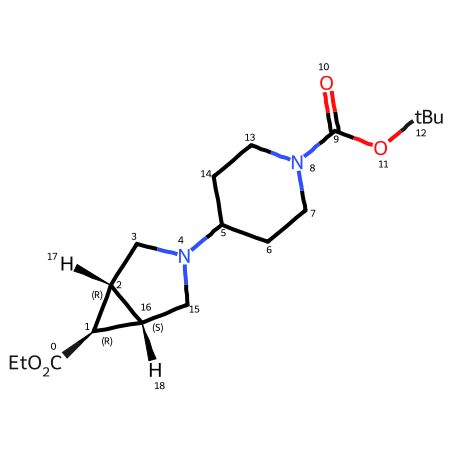 CCOC(=O)[C@H]1[C@@H]2CN(C3CCN(C(=O)OC(C)(C)C)CC3)C[C@@H]21